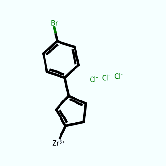 Brc1ccc(C2=CC[C]([Zr+3])=C2)cc1.[Cl-].[Cl-].[Cl-]